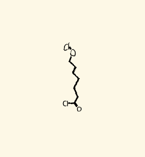 O=C(Cl)CCCCCCOCl